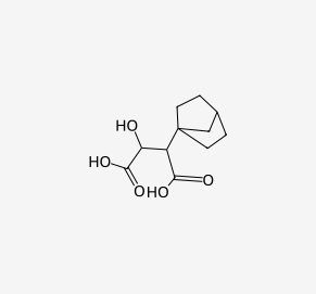 O=C(O)C(O)C(C(=O)O)C12CCC(CC1)C2